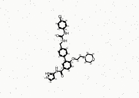 O=C(NCc1ccc(-c2cc(C(=O)Nc3ccn[nH]3)ccc2OCCN2CCOCC2)cc1)Nc1ccc(Cl)cc1